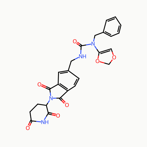 O=C1CCC(N2C(=O)c3ccc(CNC(=O)N(Cc4ccccc4)C4=COCO4)cc3C2=O)C(=O)N1